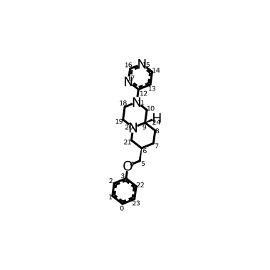 c1ccc(OC[C@@H]2CC[C@H]3CN(c4ccncn4)CCN3C2)cc1